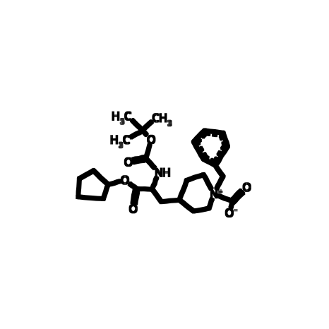 CC(C)(C)OC(=O)NC(CC1CC[N+](Cc2ccccc2)(C(=O)[O-])CC1)C(=O)OC1CCCC1